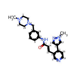 CN1CCN(Cc2cccc(NC(=O)/C=C/c3cnccc3-c3cnn(C)c3)c2)CC1